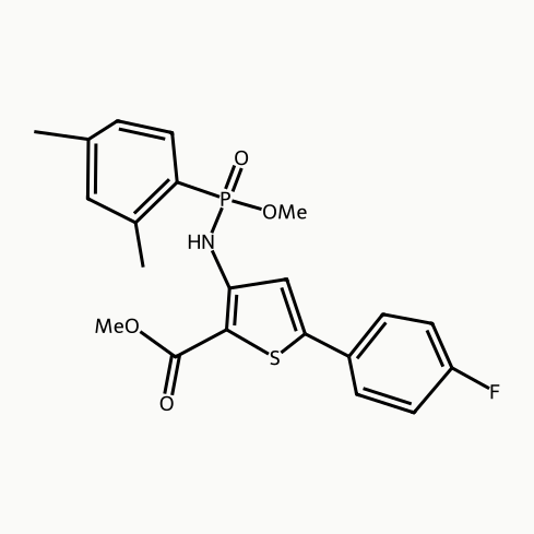 COC(=O)c1sc(-c2ccc(F)cc2)cc1NP(=O)(OC)c1ccc(C)cc1C